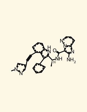 C[C@H](NC(=O)c1c(N)nc2cccnn12)c1[nH]c2cccc(C#Cc3cnn(C)c3)c2c1-c1ccccc1